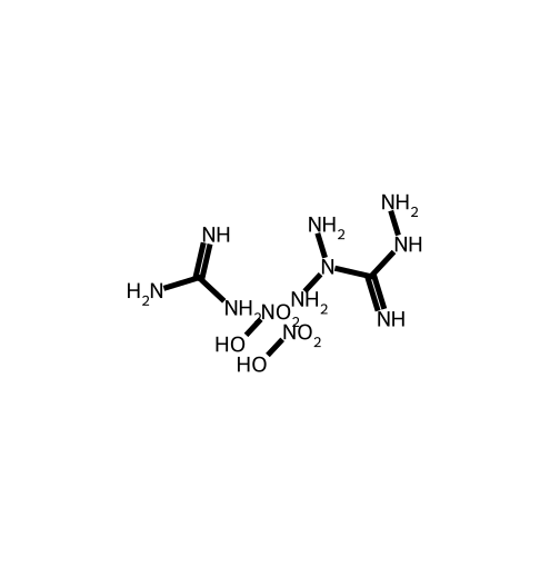 N=C(N)N.N=C(NN)N(N)N.O=[N+]([O-])O.O=[N+]([O-])O